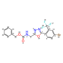 O=C(NCc1nnc(-c2ccc(Br)cc2C(F)(F)F)o1)OCc1ccccc1